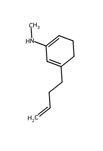 C=CCCC1=CC(NC)=CCC1